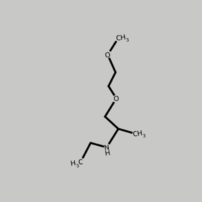 CCNC(C)COCCOC